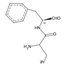 CC(C)CC(N)C(=O)N[C@H]([C]=O)Cc1ccccc1